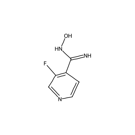 N=C(NO)c1ccncc1F